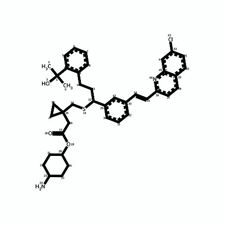 CC(C)(O)c1ccccc1CCC(SCC1(CC(=O)OC2CCC(N)CC2)CC1)c1cccc(C=Cc2ccc3ccc(Cl)cc3n2)c1